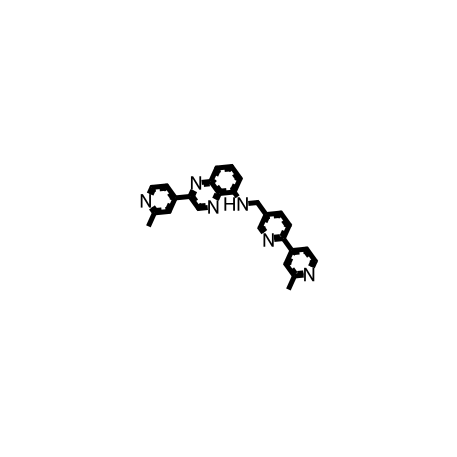 Cc1cc(-c2ccc(CNc3cccc4nc(-c5ccnc(C)c5)cnc34)cn2)ccn1